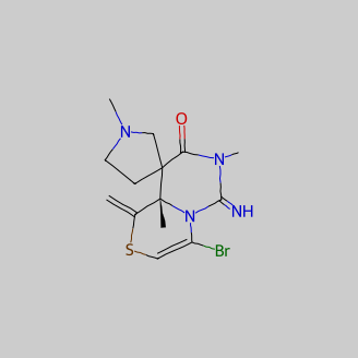 C=C1SC=C(Br)N2C(=N)N(C)C(=O)C3(CCN(C)C3)[C@@]12C